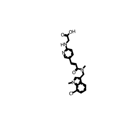 CN(Cc1cn(C)c2c(Cl)cccc12)C(=O)C=Cc1ccc(NCC(=O)O)nc1